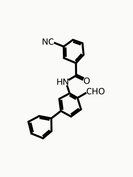 N#Cc1cccc(C(=O)Nc2cc(-c3ccccc3)ccc2C=O)c1